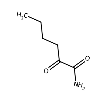 CCCCC(=O)C(N)=O